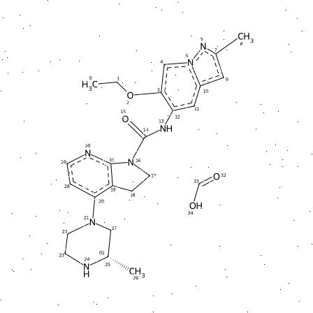 CCOc1cn2nc(C)cc2cc1NC(=O)N1CCc2c(N3CCN[C@@H](C)C3)ccnc21.O=CO